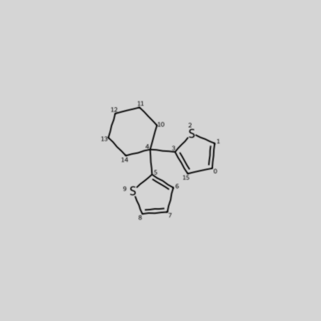 c1csc(C2(c3cccs3)CCCCC2)c1